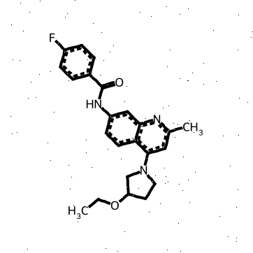 CCOC1CCN(c2cc(C)nc3cc(NC(=O)c4ccc(F)cc4)ccc23)C1